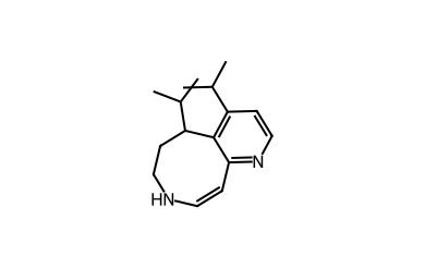 CC(C)c1ccnc2c1C(C(C)C)CCN/C=C\2